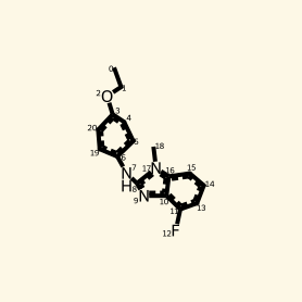 CCOc1ccc(Nc2nc3c(F)cccc3n2C)cc1